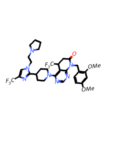 COc1ccc(CN2C(=O)CC(C(F)(F)F)c3c(N4CCC(c5nc(C(F)(F)F)cn5CCN5CCCC5)CC4)ncnc32)c(OC)c1